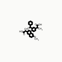 CC(C(=O)O)c1cccc(C(=O)c2ccccc2)c1.COc1ccc2cc([C@H](C)C(=O)O)ccc2c1